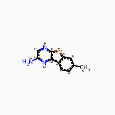 Cc1ccc2c(c1)sc1ncc(N)nc12